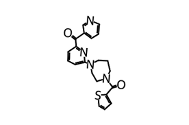 O=C(c1cccnc1)c1cccc(N2CCCN(C(=O)c3cccs3)CC2)n1